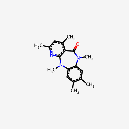 Cc1cc(C)c2c(n1)N(C)c1cc(C)c(C)cc1N(C)C2=O